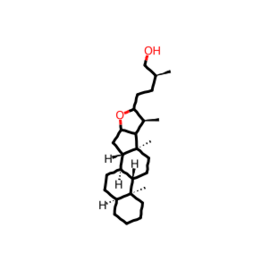 C[C@H](CO)CCC1OC2C[C@H]3[C@@H]4CC[C@@H]5CCCC[C@]5(C)[C@H]4CC[C@]3(C)C2[C@@H]1C